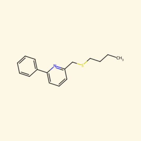 CCCCSCc1cccc(-c2ccccc2)n1